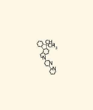 CC1(C)c2ccccc2-c2c1ccc1c2ccn1-c1ccc(-c2ccccn2)nc1